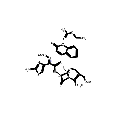 CO/N=C(/C(=O)N[C@@H]1C(=O)N2C(C(=O)O)=C(COC(C)=O)CS[C@H]12)c1csc(N)n1.NCOC(N)=O.O=c1ccc2ccccc2o1